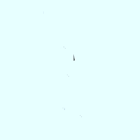 CCN1C=C(C)N=C(C2CCN(CC[C@@H](NS(=O)(=O)c3cccc(F)c3)c3ccccc3)CC2)C1